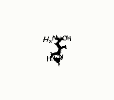 CC(CC(N)O)c1c[nH]cn1